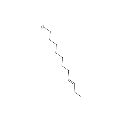 CCC=CCCCCCCCCl